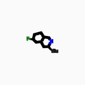 CC(C)(C)c1cc2cc(F)ccc2cn1